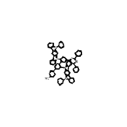 N#Cc1ccc(-c2ccc(-c3cc(-c4nc(-c5ccccc5)nc(-c5ccccc5)n4)ccc3-n3c4ccccc4c4cc5c6ccccc6n(-c6ccccc6)c5cc43)c(-n3c4ccccc4c4cc5c6ccccc6n(-c6ccccc6)c5cc43)c2)cc1